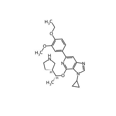 CCOc1ccc(-c2cc3ncn(C4CC4)c3c(O[C@H](C)[C@@H]3CCNC3)n2)cc1OC